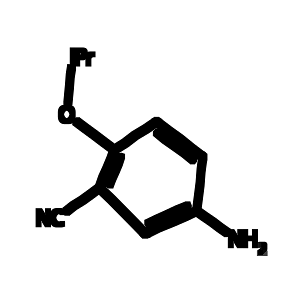 CC(C)Oc1ccc(N)cc1C#N